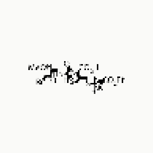 CCOC(=O)c1nc(SCC2=C(C(=O)O)N3C(=O)[C@@H](NC/C(=N/OC)C(=O)CBr)[C@H]3SC2)n(C)n1